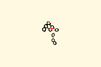 c1ccc(N(c2ccc(-c3ccc4ccccc4c3)cc2)c2ccc(-c3cccc4ccccc34)cc2)c(-c2ccc3c(c2)oc2ccccc23)c1